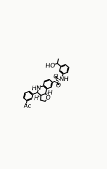 CC(=O)c1cccc(C2Nc3ccc(S(=O)(=O)Nc4cccc(C(C)O)c4)cc3[C@H]3OCC[C@@H]23)c1